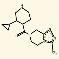 O=C(C1CCNCC1C1CC1)N1CCn2c(nnc2C(F)(F)F)C1